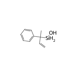 C=CC(C)([SiH2]O)c1ccccc1